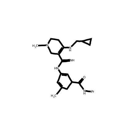 CC1=CC(NC(=N)C2=C(NCC3CC3)CCN(C)C2)=CC(C(=O)NC(C)C)C1